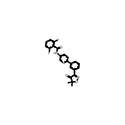 CC1(C)ON=C(c2cccc(-c3ccc(NC(=O)c4c(F)cccc4F)cn3)c2)C1=O